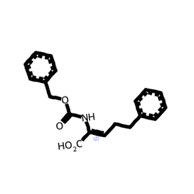 O=C(N/C(=C\CCc1ccccc1)C(=O)O)OCc1ccccc1